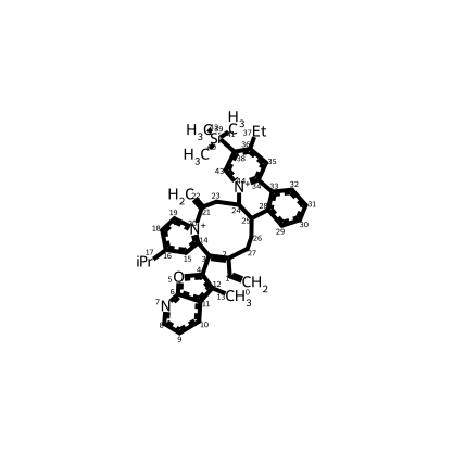 C=C/C1=C(\c2oc3ncccc3c2C)c2cc(C(C)C)cc[n+]2C(=C)CC2C(CC1)c1ccccc1-c1cc(CC)c([Si](C)(C)C)c[n+]12